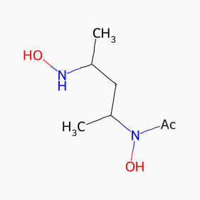 CC(=O)N(O)C(C)CC(C)NO